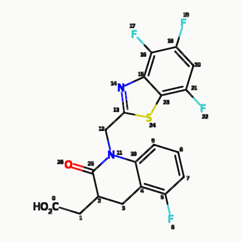 O=C(O)CC1Cc2c(F)cccc2N(Cc2nc3c(F)c(F)cc(F)c3s2)C1=O